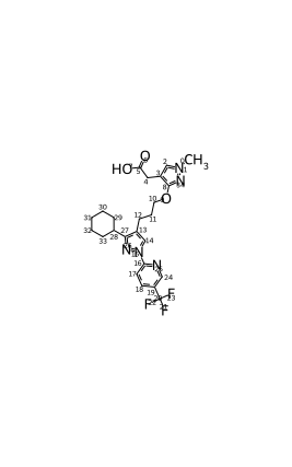 Cn1cc(CC(=O)O)c(OCCCc2cn(-c3ccc(C(F)(F)F)cn3)nc2C2CCCCC2)n1